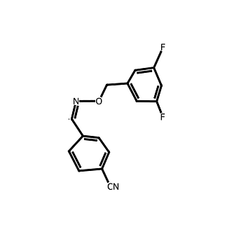 N#Cc1ccc(/[C]=N\OCc2cc(F)cc(F)c2)cc1